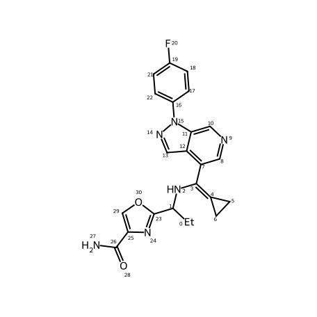 CCC(NC(=C1CC1)c1cncc2c1cnn2-c1ccc(F)cc1)c1nc(C(N)=O)co1